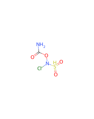 NC(=O)ON(Cl)[SH](=O)=O